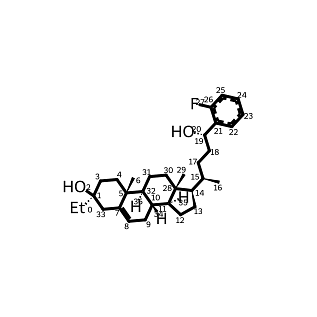 CC[C@]1(O)CC[C@@]2(C)C(=CC[C@H]3[C@@H]4CC[C@H]([C@H](C)CC[C@H](O)c5ccccc5F)[C@@]4(C)CC[C@@H]32)C1